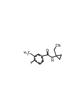 Cc1cc(C(=O)NC2(CC#N)CC2)ccc1I